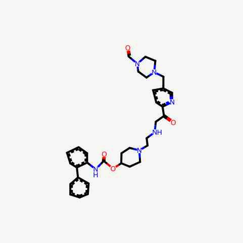 O=CN1CCN(Cc2ccc(C(=O)CNCCN3CCC(OC(=O)Nc4ccccc4-c4ccccc4)CC3)nc2)CC1